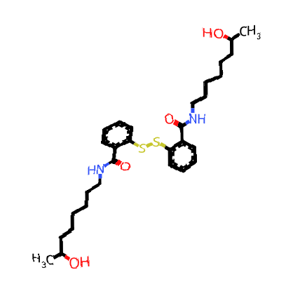 CC(O)CCCCCCNC(=O)c1ccccc1SSc1ccccc1C(=O)NCCCCCCC(C)O